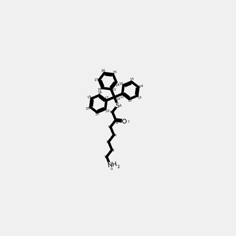 NCCCCCC(=O)CSC(c1ccccc1)(c1ccccc1)c1ccccc1